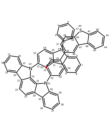 c1ccc(-n2c3ccccc3c3cc(-n4c5ccccc5c5ccc6c7ccccc7n(-c7ccc(-c8ccc9sc%10ccccc%10c9c8)cc7)c6c54)ccc32)cc1